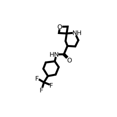 O=C(NC1CCC(C(F)(F)F)CC1)C1CCNC2(COC2)C1